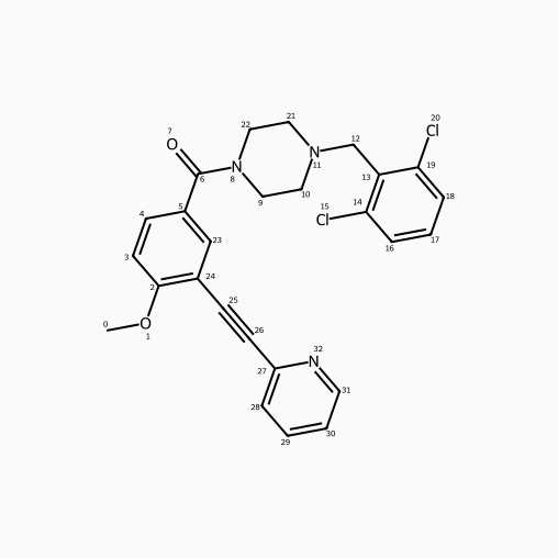 COc1ccc(C(=O)N2CCN(Cc3c(Cl)cccc3Cl)CC2)cc1C#Cc1ccccn1